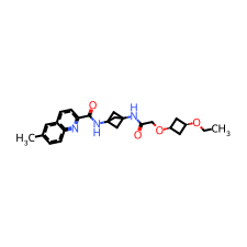 CCO[C@H]1C[C@@H](OCC(=O)NC23CC(NC(=O)c4ccc5cc(C)ccc5n4)(C2)C3)C1